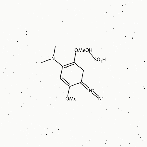 COC1=CC(N(C)C)=C(OC)CC1=[N+]=[N-].O=S(=O)(O)O